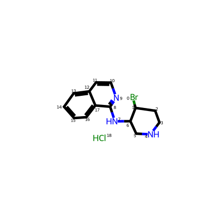 BrC1CCNCC1Nc1nccc2ccccc12.Cl